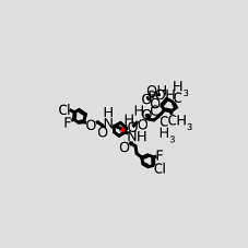 Cc1cc(C)c(C(C)(C)CC(=O)OCO[C@H]2CC3(NC(=O)COc4ccc(Cl)c(F)c4)CCC2(NC(=O)CCc2ccc(Cl)c(F)c2)CC3)c(OP(=O)(O)O)c1